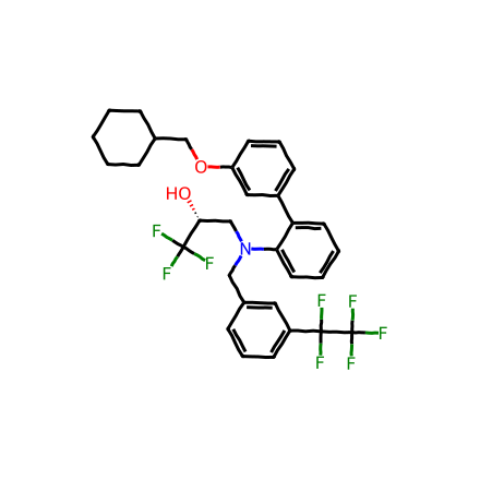 O[C@H](CN(Cc1cccc(C(F)(F)C(F)(F)F)c1)c1ccccc1-c1cccc(OCC2CCCCC2)c1)C(F)(F)F